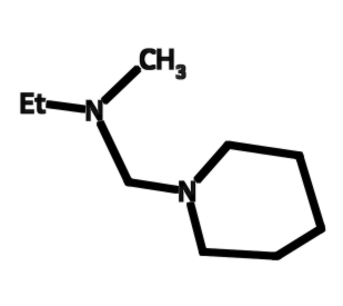 CCN(C)CN1CCCCC1